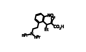 CCCN(CCC)CCc1cccc([N+](=O)[O-])c1C(CC)C(=O)C(=O)O